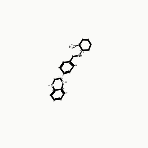 C[C@H]1CCCC[C@H]1NCc1ccc([C@H]2COc3ccccc3O2)cc1